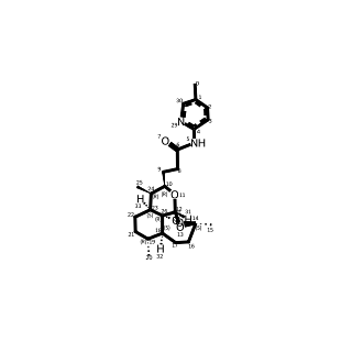 Cc1ccc(NC(=O)CC[C@H]2O[C@@H]3O[C@]4(C)CC[C@H]5[C@H](C)CC[C@@H]([C@H]2C)[C@@]35OO4)nc1